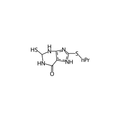 CCCSc1nc2c([nH]1)C(=O)NC(S)N2